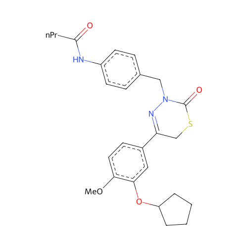 CCCC(=O)Nc1ccc(CN2N=C(c3ccc(OC)c(OC4CCCC4)c3)CSC2=O)cc1